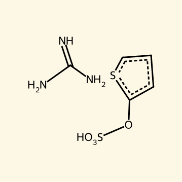 N=C(N)N.O=S(=O)(O)Oc1cccs1